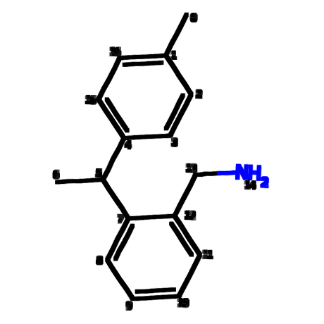 Cc1ccc(C(C)c2ccccc2CN)cc1